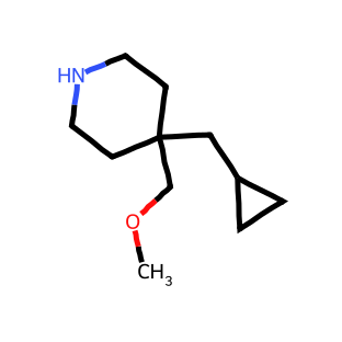 COCC1(CC2CC2)CCNCC1